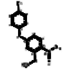 NCc1cc(Sc2ccc(F)cc2)ccc1[N+](=O)[O-]